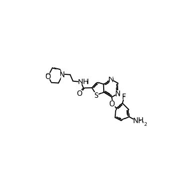 Nc1ccc(Oc2ncnc3cc(C(=O)NCCN4CCOCC4)sc23)c(F)c1